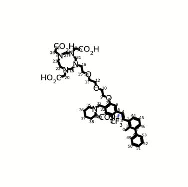 Cc1c(/C=C/c2cc(OCCOCCOCCN3CN(CC(=O)O)CCN(CC(=O)O)CN(CC(=O)O)C3)c(CN3CCCC[C@H]3C(=O)O)cc2C(F)(F)F)cccc1-c1ccccc1